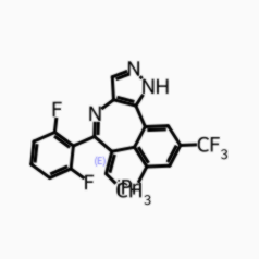 C/C=C1/C(c2c(F)cccc2F)=Nc2cn[nH]c2-c2cc(C(F)(F)F)cc(C(C)C)c21